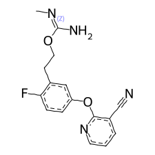 C/N=C(/N)OCCc1cc(Oc2ncccc2C#N)ccc1F